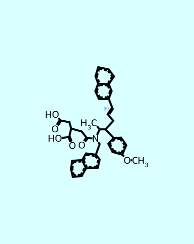 COc1ccc(C(C/C=C/c2ccc3ccccc3c2)C(C)N(Cc2ccc3ccccc3c2)C(=O)CC(CC(=O)O)C(=O)O)cc1